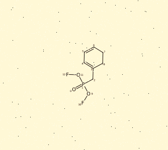 O=P(CC1=CC=CC[CH]1)(OF)OF